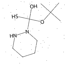 CC(C)(C)OC(O)(S)N1CCCCN1